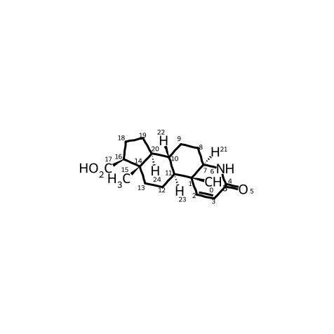 C[C@]12C=CC(=O)N[C@@H]1CC[C@@H]1[C@@H]2CC[C@]2(C)[C@@H](C(=O)O)CC[C@@H]12